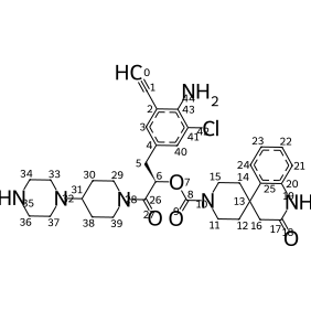 C#Cc1cc(C[C@@H](OC(=O)N2CCC3(CC2)CC(=O)Nc2ccccc23)C(=O)N2CCC(N3CCNCC3)CC2)cc(Cl)c1N